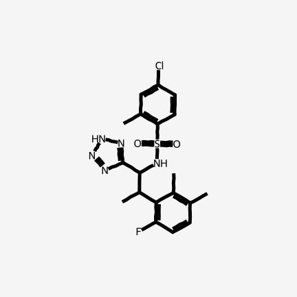 Cc1cc(Cl)ccc1S(=O)(=O)NC(c1nn[nH]n1)C(C)c1c(F)ccc(C)c1C